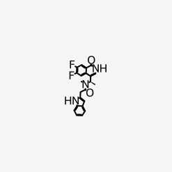 C[C@H](c1c[nH]c(=O)c2cc(F)c(F)cc12)N(C)C(=O)Cc1cc2ccccc2[nH]1